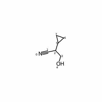 N#CC(CO)C1CC1